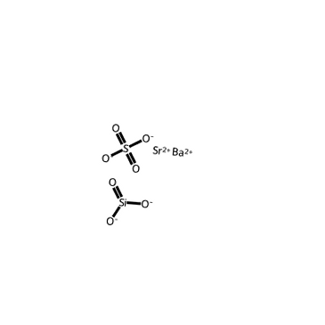 O=S(=O)([O-])[O-].O=[Si]([O-])[O-].[Ba+2].[Sr+2]